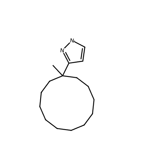 CC1(C2=N[N]C=C2)CCCCCCCCCCC1